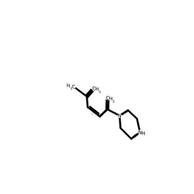 C=C(C)/C=C\C(=C)N1CCNCC1